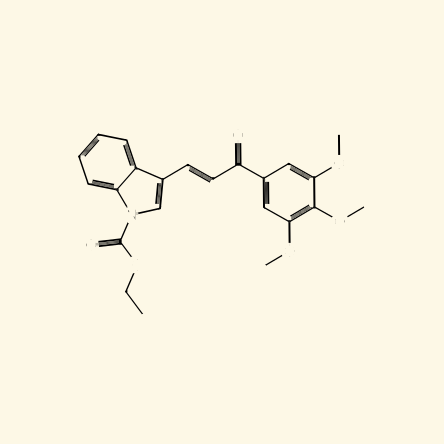 CCOC(=O)n1cc(C=CC(=O)c2cc(OC)c(OC)c(OC)c2)c2ccccc21